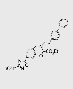 CCCCCCCCc1noc(-c2ccc(CN(CCc3ccc(-c4ccccc4)cc3)C(=O)C(=O)OCC)cc2)n1